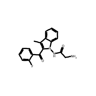 Cc1c(C(=O)c2ccccc2F)n(NC(=O)CN)c2ccccc12